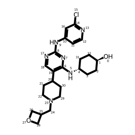 O[C@H]1CC[C@H](Nc2nc(Nc3ccnc(Cl)c3)ncc2C2CCN(CC3COC3)CC2)CC1